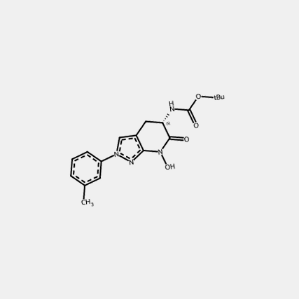 Cc1cccc(-n2cc3c(n2)N(O)C(=O)[C@@H](NC(=O)OC(C)(C)C)C3)c1